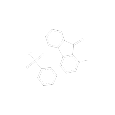 C[n+]1cccc2c1C(=O)c1ccccc1-2.O=S(=O)([O-])c1ccccc1